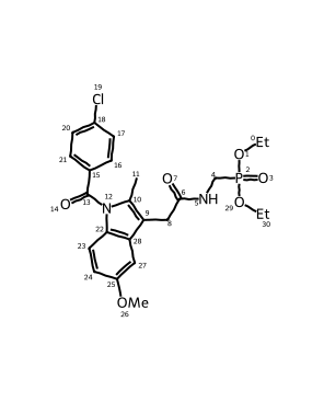 CCOP(=O)(CNC(=O)Cc1c(C)n(C(=O)c2ccc(Cl)cc2)c2ccc(OC)cc12)OCC